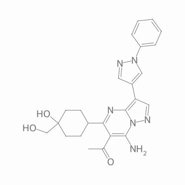 CC(=O)c1c(C2CCC(O)(CO)CC2)nc2c(-c3cnn(-c4ccccc4)c3)cnn2c1N